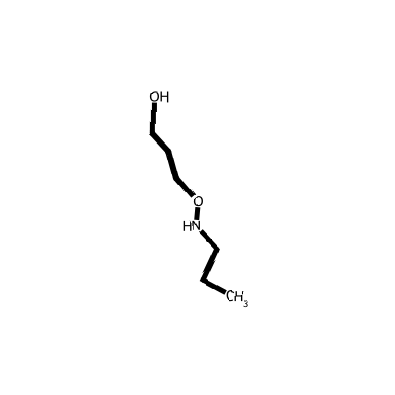 CCCNOCCCO